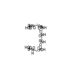 C[C@H](CCC(=O)NCCS(=O)(=O)O)[C@H]1CCC2[C@H]3C(CC[C@@]21C)[C@@]1(C)CC[C@@H](NC(=O)CCCC(=O)N[C@@H]2CC[C@@]4(C)C(C2)CC2(NN2)[C@@H]2C4CC[C@@]4(C)C2CC[C@@H]4[C@H](C)CCC(=O)NCCS(=O)(=O)O)CC1C[C@@H]3O